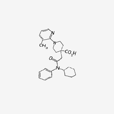 Cc1cccnc1N1CCC(CC(=O)N(c2ccccc2)C2CCCCC2)(C(=O)O)CC1